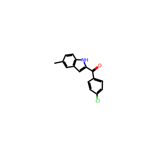 Cc1ccc2[nH]c(C(=O)c3ccc(Cl)cc3)cc2c1